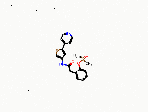 C=S(C)(=O)Oc1ccccc1CC(=O)Nc1csc(-c2ccncc2)c1